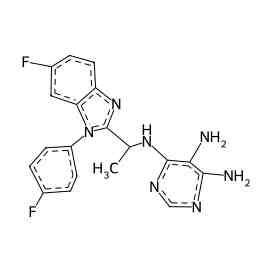 CC(Nc1ncnc(N)c1N)c1nc2ccc(F)cc2n1-c1ccc(F)cc1